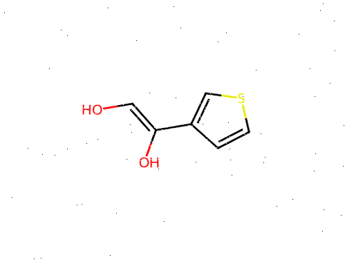 OC=C(O)c1ccsc1